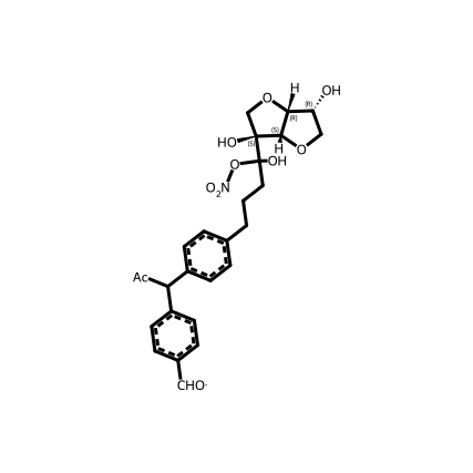 CC(=O)C(c1ccc([C]=O)cc1)c1ccc(CCCC(O)(O[N+](=O)[O-])[C@]2(O)CO[C@@H]3[C@H](O)CO[C@@H]32)cc1